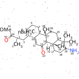 CCCC[C@@](C)(CC1CCC[C@]2(C)C1=CC(=O)[C@@H]1[C@@]3(C)CCC(N)C(C)(C)C3CC[C@]12C)C(=O)OC